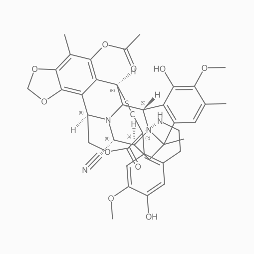 COc1cc2c(cc1O)CCN[C@]21CS[C@@H]2c3c(OC(C)=O)c(C)c4c(c3[C@H](COC1=O)N1C2[C@@H]2c3c(cc(C)c(OC)c3O)C3(C)C[C@@H]([C@@H]1C#N)N23)OCO4